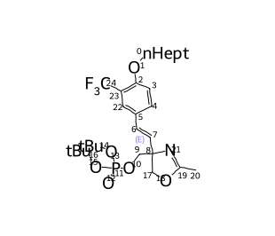 CCCCCCCOc1ccc(/C=C/C2(COP(=O)(OC(C)(C)C)OC(C)(C)C)COC(C)=N2)cc1C(F)(F)F